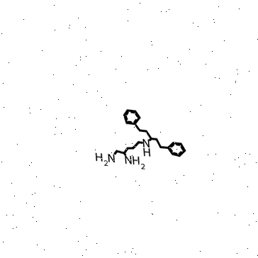 NCC(N)CCCNC(CCc1ccccc1)CCc1ccccc1